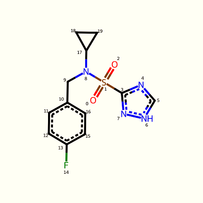 O=S(=O)(c1nc[nH]n1)N(Cc1ccc(F)cc1)C1CC1